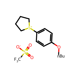 CCCCOc1ccc([S+]2CCCC2)cc1.O=S(=O)([O-])C(F)(F)F